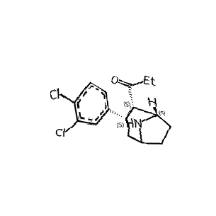 CCC(=O)[C@@H]1[C@@H]2CCC(C[C@@H]1c1ccc(Cl)c(Cl)c1)N2